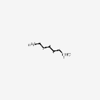 [CH2]CCCCCCC[C]=O